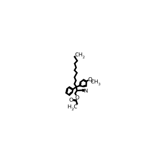 C=CCCCCCCCCC(c1ccccc1)(c1ccc(OC)cc1)C(C#N)COC(=O)C=C